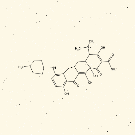 CC1CCC(Nc2ccc(O)c3c2CC2CC4C(N(C)C)C(O)=C(C(N)=O)C(=O)C4(O)C(O)=C2C3=O)CC1